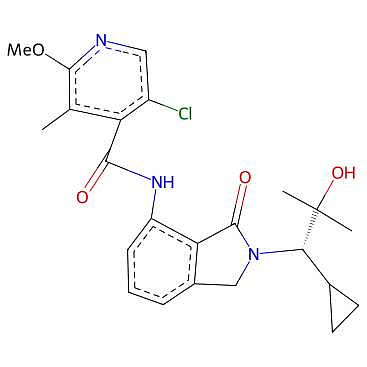 COc1ncc(Cl)c(C(=O)Nc2cccc3c2C(=O)N([C@@H](C2CC2)C(C)(C)O)C3)c1C